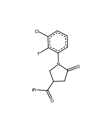 CC(C)C(=O)C1CC(=O)N(c2cccc(Cl)c2F)C1